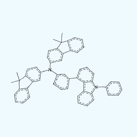 CC1(C)c2ccccc2-c2cc(N(c3cccc(-c4cccc5c4c4ccccc4n5-c4ccccc4)c3)c3ccc4c(c3)-c3ccccc3C4(C)C)ccc21